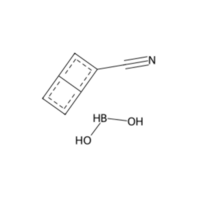 N#Cc1cc2ccc1-2.OBO